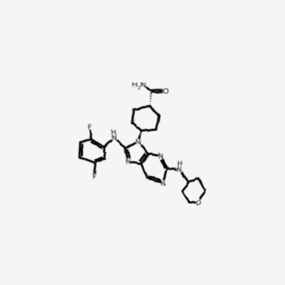 NC(=O)[C@H]1CC[C@H](n2c(Nc3cc(F)ccc3F)nc3cnc(NC4CCOCC4)nc32)CC1